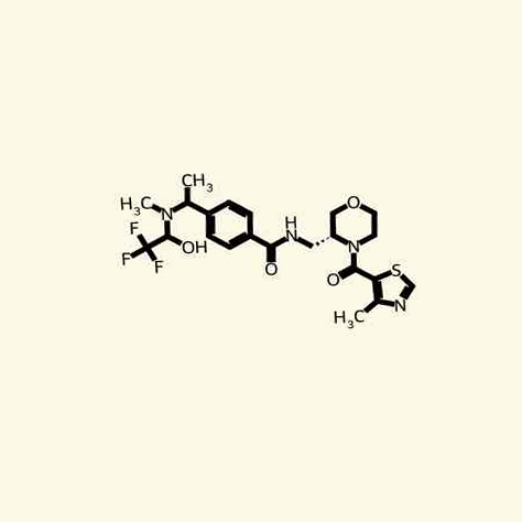 Cc1ncsc1C(=O)N1CCOC[C@H]1CNC(=O)c1ccc(C(C)N(C)C(O)C(F)(F)F)cc1